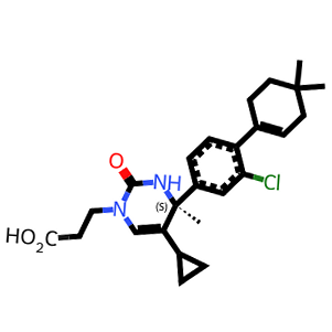 CC1(C)CC=C(c2ccc([C@]3(C)NC(=O)N(CCC(=O)O)C=C3C3CC3)cc2Cl)CC1